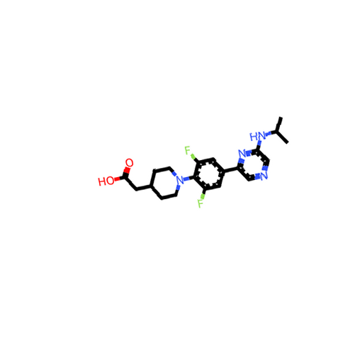 CC(C)Nc1cncc(-c2cc(F)c(N3CCC(CC(=O)O)CC3)c(F)c2)n1